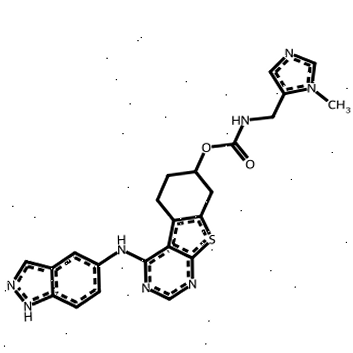 Cn1cncc1CNC(=O)OC1CCc2c(sc3ncnc(Nc4ccc5[nH]ncc5c4)c23)C1